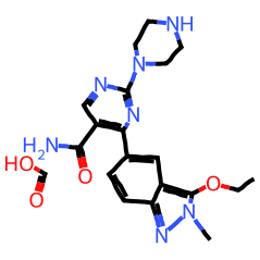 CCOc1c2cc(-c3nc(N4CCNCC4)ncc3C(N)=O)ccc2nn1C.O=CO